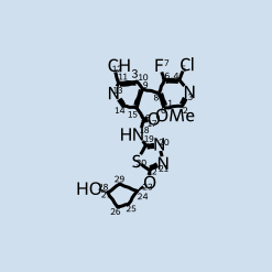 COc1cnc(Cl)c(F)c1-c1cc(C)ncc1C(=O)Nc1nnc(O[C@H]2CC[C@H](O)C2)s1